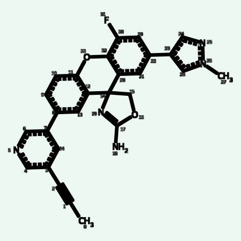 CC#Cc1cncc(-c2ccc3c(c2)C2(COC(N)=N2)c2cc(-c4cnn(C)c4)cc(F)c2O3)c1